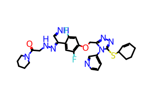 N=C/C(=N\NCC(=O)N1CCCCC1)c1cc(F)c(OCc2nnc(SC3C=CCCC3)n2-c2cccnc2)cc1F